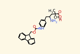 CC(C)(CC(N)Cc1ccc(NC(=O)OCC2c3ccccc3-c3ccccc32)cc1)C(=O)O